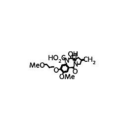 C=C1C[C@H]2C(O)N(C(=O)O)c3cc(OCCCOC)c(OC)cc3C(=O)N2C1